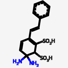 NC1(N)C=CC(C=Cc2ccccc2)=C(S(=O)(=O)O)C1S(=O)(=O)O